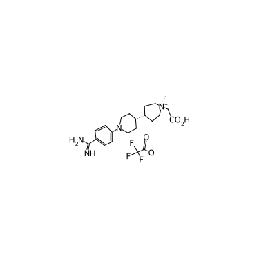 C[N@+]1(CC(=O)O)CC[C@H](C2CCN(c3ccc(C(=N)N)cc3)CC2)CC1.O=C([O-])C(F)(F)F